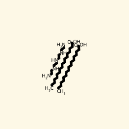 CCCCCCCCCCCCCCCCCC(=O)O.CCCCCCCCCCCCCCCCCC(=O)O.NCCNCCNCCNCCN